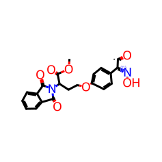 COC(=O)C(CCOc1ccc(/C([C]=O)=N\O)cc1)N1C(=O)c2ccccc2C1=O